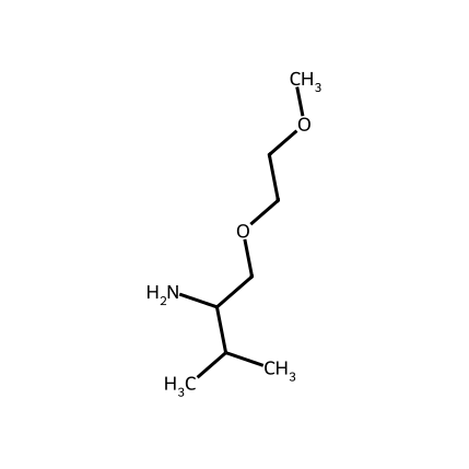 COCCOCC(N)C(C)C